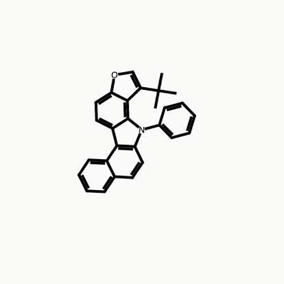 CC(C)(C)c1coc2ccc3c4c5ccccc5ccc4n(-c4ccccc4)c3c12